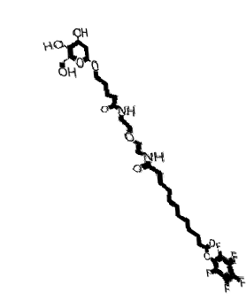 O=C(CCCCCCCCCCC(=O)Oc1c(F)c(F)c(F)c(F)c1F)NCCOCCNC(=O)CCCCO[C@H]1C[C@@H](O)[C@@H](O)[C@@H](CO)O1